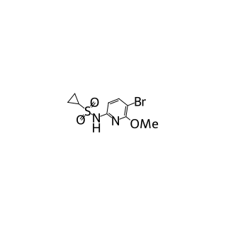 COc1nc(NS(=O)(=O)C2CC2)ccc1Br